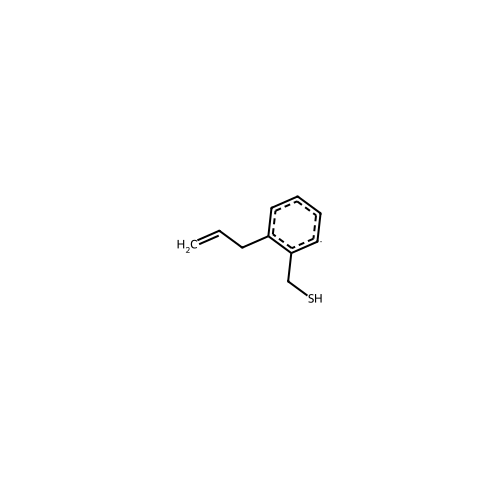 C=CCc1ccc[c]c1CS